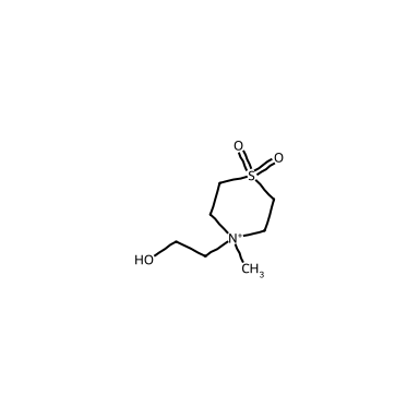 C[N+]1(CCO)CCS(=O)(=O)CC1